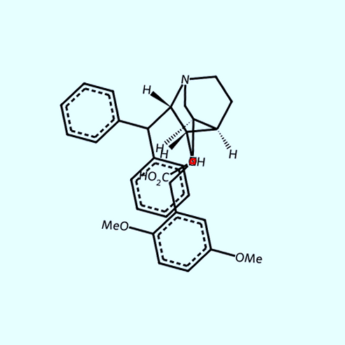 COc1ccc(OC)c(CN[C@H]2[C@@H]3CCN(C[C@@H]3OC(=O)O)[C@H]2C(c2ccccc2)c2ccccc2)c1